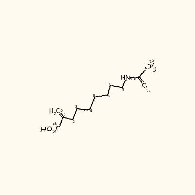 C=C(CCCCCCCNC(=O)C(F)(F)F)C(=O)O